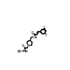 CC(C)(C)NC(=O)CN1CCC(CNC(=O)/C=C/c2cc(F)cc(F)c2)CC1